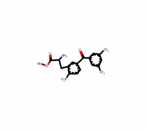 CC(C)(C)OC(=O)C(N)Cc1cc(C(=O)c2cc(C(F)(F)F)cc(C(F)(F)F)c2)ccc1[N+](=O)[O-]